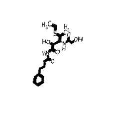 CCSC(C)[C@H](NC(=O)CO)C(O)C(=O)NC(=O)CCCc1ccccc1